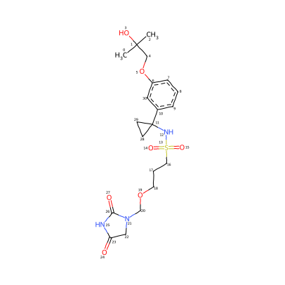 CC(C)(O)COc1cccc(C2(NS(=O)(=O)CCCOCN3CC(=O)NC3=O)CC2)c1